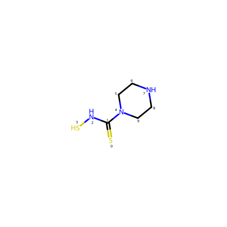 S=C(NS)N1CCNCC1